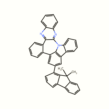 CC1(C)c2ccccc2-c2cccc(-c3cc4c5c(c3)c3ccccc3n5-c3nc5ccccc5nc3-c3ccccc3-4)c21